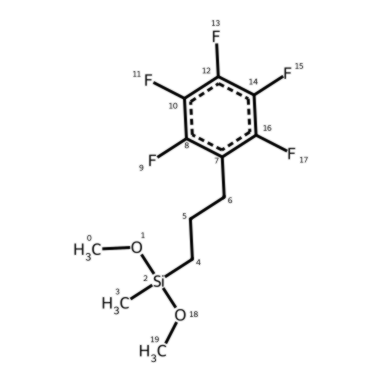 CO[Si](C)(CCCc1c(F)c(F)c(F)c(F)c1F)OC